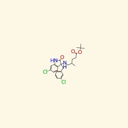 CC(CCC(=O)OC(C)(C)C)CNC1(Cc2cccc(Cl)c2)C(=O)Nc2cc(Cl)ccc21